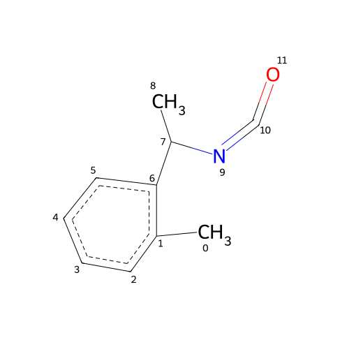 Cc1ccccc1C(C)N=C=O